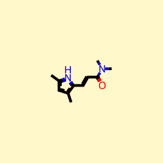 Cc1cc(C)c(C=CC(=O)N(C)C)[nH]1